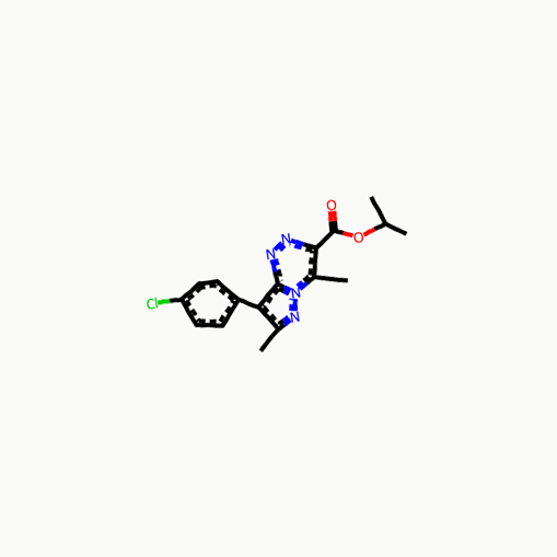 Cc1nn2c(C)c(C(=O)OC(C)C)nnc2c1-c1ccc(Cl)cc1